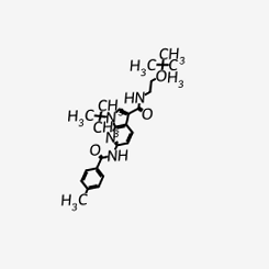 Cc1ccc(C(=O)Nc2ccc3c(C(=O)NCCOC(C)(C)C)cn(C(C)(C)C)c3n2)cc1